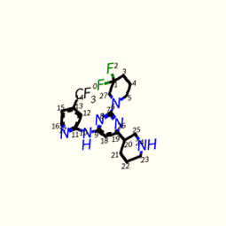 FC1(F)CCCN(c2nc(Nc3cc(C(F)(F)F)ccn3)cc(C3CCCNC3)n2)C1